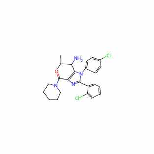 CC(C)C(N)c1c(C(=O)N2CCCCC2)nc(-c2ccccc2Cl)n1-c1ccc(Cl)cc1